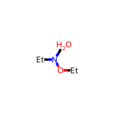 CCON(C)CC.O